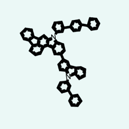 c1ccc(-c2ccc(-c3cccc(-n4c5ccc(-c6ccc7c(c6)c6ccccc6n7-c6cccc(-c7ccccc7)c6)cc5c5c6cccc7c6c(cc54)-c4ccccc4-7)c3)cc2)cc1